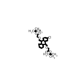 CC(C)(C)OC(=O)COC=c1c2ccccc2c(=COCC(=O)OC(C)(C)C)c2cc(Cl)ccc12